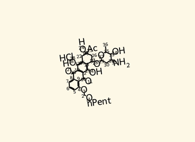 CCCCCOCOc1cccc2c1C(=O)c1c(O)c3c(c(O)c1C2=O)C[C@@](O)(C(C)=O)C[C@@H]3OC1CC(N)C(O)C(C)O1.Cl